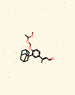 COC(C)OCOc1ccc(C(C)=CC=O)cc1C12CC3CC(CC(C3)C1)C2